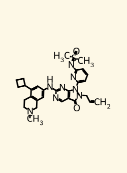 C=CCn1c(=O)c2cnc(Nc3cc4c(c(C5CCC5)c3)CCN(C)C4)nc2n1-c1cccc(N=S(C)(C)=O)n1